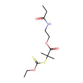 CCOC(=S)SC(C)(C)C(=O)OCCNC(=O)CC